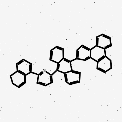 C1=Cc2c(cccc2-c2cccc(-c3c4ccccc4c(-c4ccc5c(c4)c4c(c6ccccc65)CCC=C4)c4ccccc34)n2)CC1